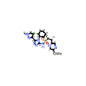 COc1cnc([C@@H](C)[C@H](C)S(=O)(=O)Nc2nnc(-c3ccn(C)n3)n2-c2c(F)cccc2F)cn1